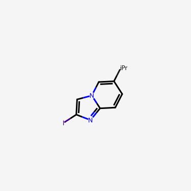 CC(C)c1ccc2nc(I)cn2c1